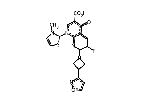 CN1C=CSC1n1cc(C(=O)O)c(=O)c2c1=NC(N1CC(c3ccon3)C1)C(F)C=2